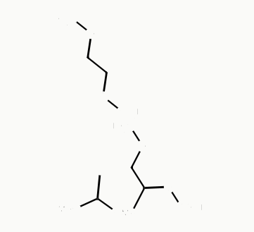 CC(COC(=O)O)OC(=O)O.COC(C)OC.O=C(O)OCCOC(=O)O